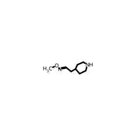 CON=CCC1CCNCC1